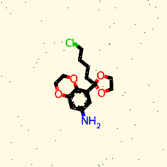 Nc1cc2c(c(C3(CCCCCl)OCCO3)c1)OCCO2